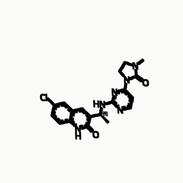 C[C@H](Nc1nccc(N2CCN(C)C2=O)n1)c1cc2cc(Cl)ccc2[nH]c1=O